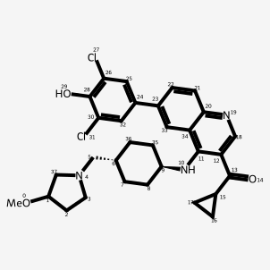 COC1CCN(C[C@H]2CC[C@H](Nc3c(C(=O)C4CC4)cnc4ccc(-c5cc(Cl)c(O)c(Cl)c5)cc34)CC2)C1